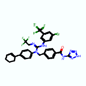 O=C(Nc1nn[nH]n1)c1ccc(CN(/C(=N\CC(F)(F)F)Nc2cc(Br)cc(C(F)(F)F)c2)c2ccc(C3=CCCCC3)cc2)cc1